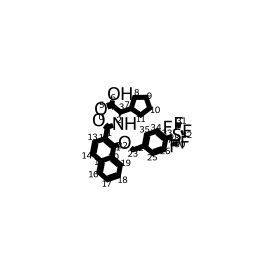 O=C(N[C@H](C(=O)O)C1CCCC1)c1ccc2ccccc2c1OCc1ccc(S(F)(F)(F)(F)F)cc1